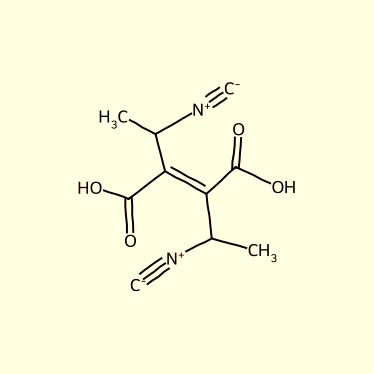 [C-]#[N+]C(C)/C(C(=O)O)=C(\C(=O)O)C(C)[N+]#[C-]